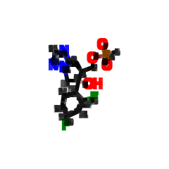 C[C@@H](COS(C)(=O)=O)[C@](O)(Cn1cncn1)c1ccc(F)cc1F